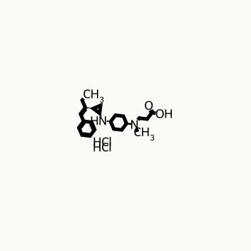 CCC(=Cc1ccccc1)[C@@H]1C[C@H]1N[C@H]1CC[C@H](N(C)CCC(=O)O)CC1.Cl.Cl